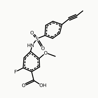 CC#Cc1ccc(S(=O)(=O)Nc2cc(F)c(C(=O)O)cc2OC)cc1